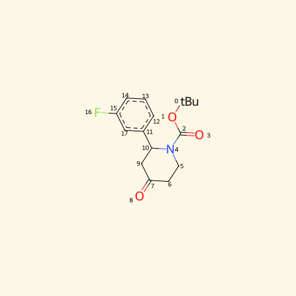 CC(C)(C)OC(=O)N1CCC(=O)CC1c1cccc(F)c1